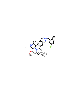 Cc1ccc(F)cc1CN1CCc2cc(-c3c(C)nc(C)c(C(OC(C)(C)C)C(=O)O)c3N3CCC(C)(C)CC3)ccc2C1